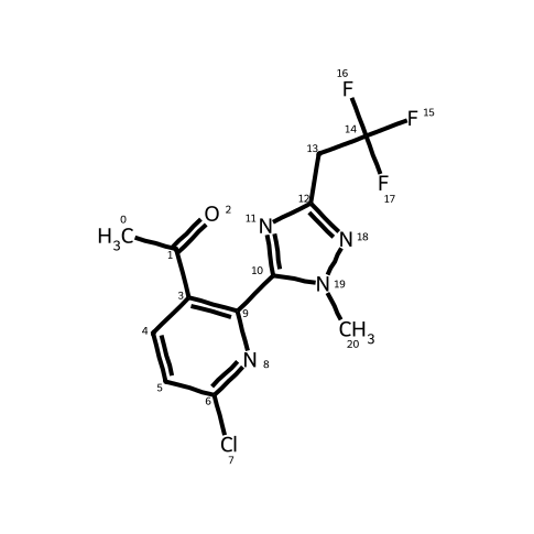 CC(=O)c1ccc(Cl)nc1-c1nc(CC(F)(F)F)nn1C